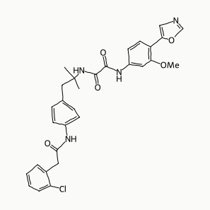 COc1cc(NC(=O)C(=O)NC(C)(C)Cc2ccc(NC(=O)Cc3ccccc3Cl)cc2)ccc1-c1cnco1